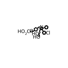 O=C(O)COCC1CCC(Cn2nc(-c3ccccc3)c(-c3cccc(Cl)c3)c2CCC(O)CO)CC1